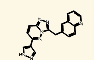 c1cnc2ccc(Cc3nnc4ccc(-c5cn[nH]c5)nn34)cc2c1